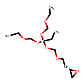 C1CO1.CCOCO[Si](CC)(OCOCC)OCOCC